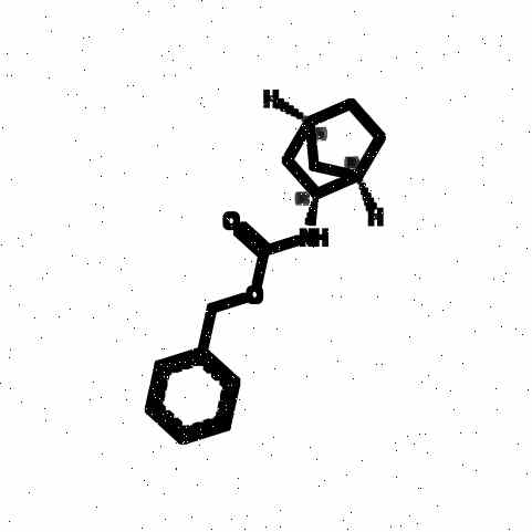 O=C(N[C@@H]1C[C@H]2CC[C@@H]1C2)OCc1ccccc1